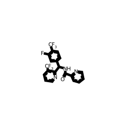 O=C(NC(c1ccc(C(F)(F)F)c(F)c1)c1ncccc1C(F)(F)F)c1ccccn1